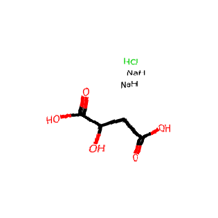 Cl.O=C(O)CC(O)C(=O)O.[NaH].[NaH]